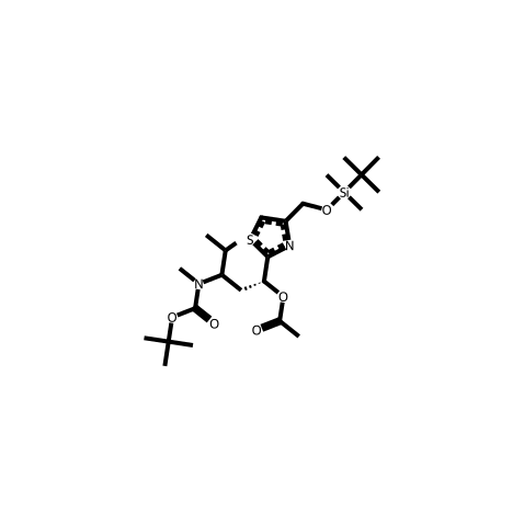 CC(=O)O[C@H](CC(C(C)C)N(C)C(=O)OC(C)(C)C)c1nc(CO[Si](C)(C)C(C)(C)C)cs1